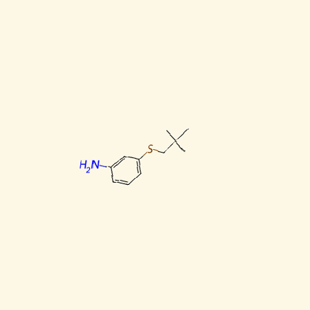 CC(C)(C)CSc1cccc(N)c1